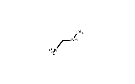 CNCN